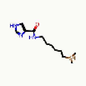 C[SH](C)CCCCCCNC(=O)c1c[nH]cn1